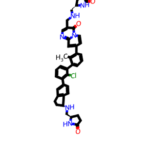 Cc1c(-c2ccn3c(=O)c(CNC[C@@H]4CCC(=O)N4)cnc3c2)cccc1-c1cccc(-c2ccc3c(c2)CC[C@H]3NC[C@H]2CCC(=O)N2)c1Cl